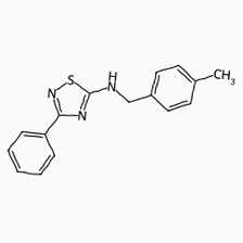 Cc1ccc(CNc2nc(-c3ccccc3)ns2)cc1